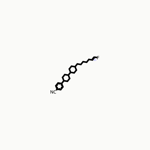 N#Cc1ccc(C2CCC(C3CCC(CCCCC/C=C/F)CC3)CC2)cc1